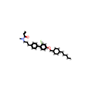 C=CC(=O)N(C)CCCc1ccc(-c2ccc(OCC3CCC(CCCCC)CC3)cc2F)cc1